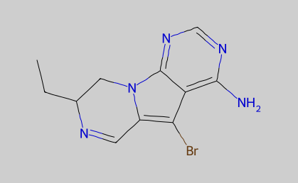 CCC1Cn2c(c(Br)c3c(N)ncnc32)C=N1